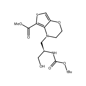 COC(=O)c1scc2c1N(C[C@H](CO)NC(=O)OC(C)(C)C)CCO2